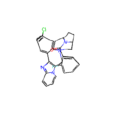 O=C(c1ccccc1F)N1C2CCC1CN(Cc1c(-c3ccc(Cl)cc3)nc3ccccn13)CC2